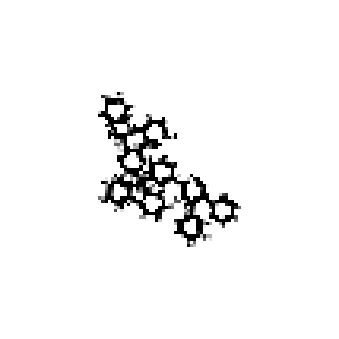 c1ccc(-c2cnc(-c3cccc(C4(c5ccc6c(c5)c5ncccc5n5c7ccccc7nc65)c5ccccc5-c5ccccc54)c3)cc2-c2ccccc2)cc1